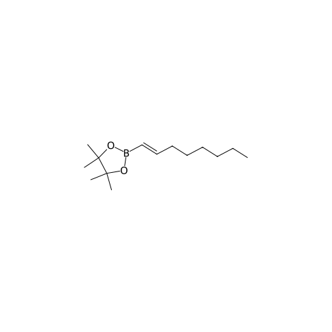 CCCCCC/C=C/B1OC(C)(C)C(C)(C)O1